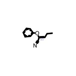 CC/C=C(/C#N)Oc1ccccc1